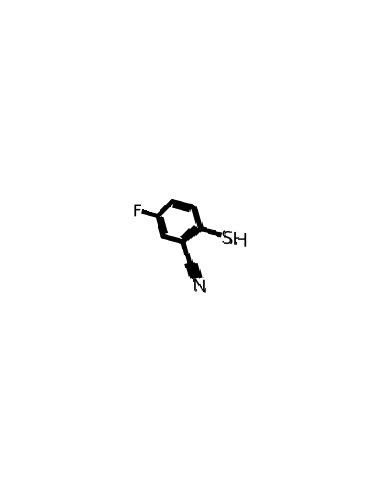 N#Cc1cc(F)ccc1S